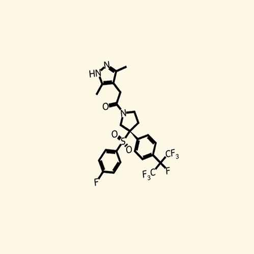 Cc1n[nH]c(C)c1CC(=O)N1CC[C@](c2ccc(C(F)(C(F)(F)F)C(F)(F)F)cc2)(S(=O)(=O)c2ccc(F)cc2)C1